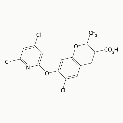 O=C(O)C1Cc2cc(Cl)c(Oc3cc(Cl)cc(Cl)n3)cc2OC1C(F)(F)F